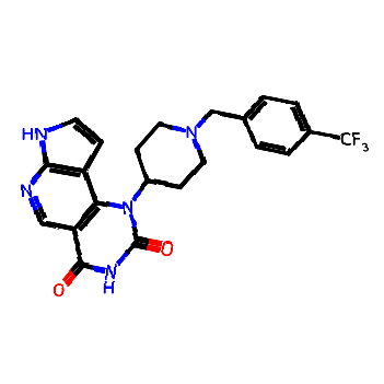 O=c1[nH]c(=O)n(C2CCN(Cc3ccc(C(F)(F)F)cc3)CC2)c2c1cnc1[nH]ccc12